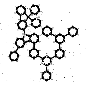 c1ccc(-c2cc(-c3ccccc3)cc(-c3cccc(-c4nc(-c5ccccc5)nc(-c5cccc(-c6cccc7c6c6cc(-c8ccccc8)ccc6n7-c6ccc7c(c6)C(c6ccccn6)(c6ccccn6)c6ccccc6-7)c5)n4)c3)c2)cc1